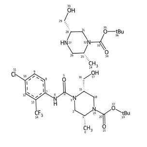 C[C@@H]1CN(C(=O)Nc2ccc(Cl)cc2C(F)(F)F)[C@H](CO)CN1C(=O)OC(C)(C)C.C[C@@H]1CN[C@H](CO)CN1C(=O)OC(C)(C)C